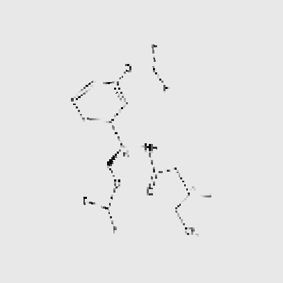 C[C@@H](CC(=O)N[C@@H](COC(F)F)c1cccc(OC(F)F)c1)CC(F)(F)F